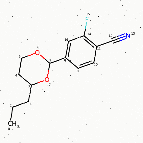 CCCC1CCOC(c2ccc(C#N)c(F)c2)O1